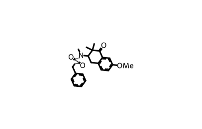 COc1ccc2c(c1)C(=O)C(C)(C)C(N(C)S(=O)(=O)Cc1ccccc1)C2